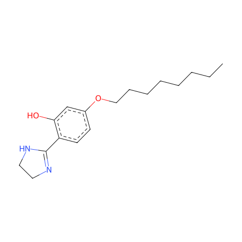 CCCCCCCCOc1ccc(C2=NCCN2)c(O)c1